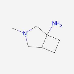 CN1CC2CCC2(N)C1